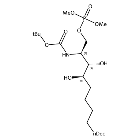 CCCCCCCCCCCCCC[C@@H](O)[C@@H](O)[C@H](COP(=O)(OC)OC)NC(=O)OC(C)(C)C